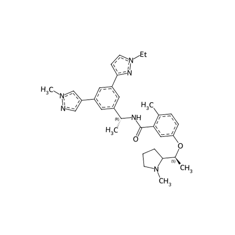 CCn1ccc(-c2cc(-c3cnn(C)c3)cc([C@@H](C)NC(=O)c3cc(O[C@@H](C)C4CCCN4C)ccc3C)c2)n1